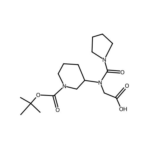 CC(C)(C)OC(=O)N1CCCC(N(CC(=O)O)C(=O)N2CCCC2)C1